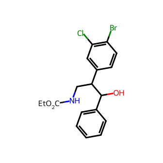 CCOC(=O)NCC(c1ccc(Br)c(Cl)c1)C(O)c1ccccc1